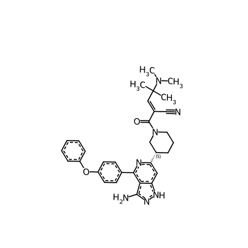 CN(C)C(C)(C)C=C(C#N)C(=O)N1CCC[C@H](c2cc3[nH]nc(N)c3c(-c3ccc(Oc4ccccc4)cc3)n2)C1